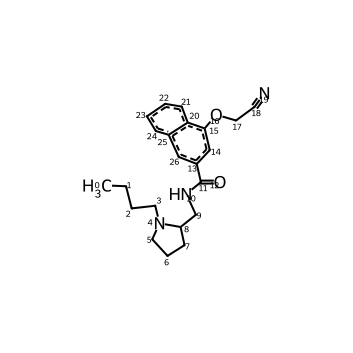 CCCCN1CCCC1CNC(=O)c1cc(OCC#N)c2ccccc2c1